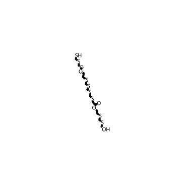 O=C(CSCSCSCSCCOOCSCS)OCCSCSCO